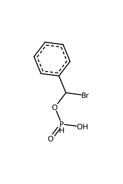 O=[PH](O)OC(Br)c1ccccc1